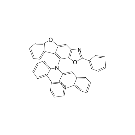 c1ccc(-c2nc3cc4oc5ccccc5c4c(N(c4ccc5ccccc5c4)c4ccccc4-c4ccccc4)c3o2)cc1